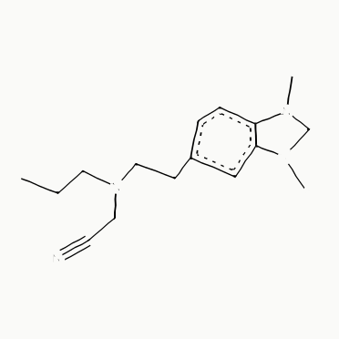 CCCN(CC#N)CCc1ccc2c(c1)[S+]([O-])CN2C